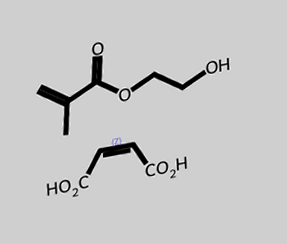 C=C(C)C(=O)OCCO.O=C(O)/C=C\C(=O)O